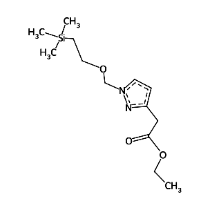 CCOC(=O)Cc1ccn(COCC[Si](C)(C)C)n1